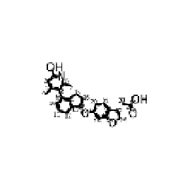 Cc1cc(O)nc(C)c1-c1cccc2c1CC[C@H]2Oc1ccc2c(c1)OC[C@H]2CC(=O)O